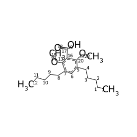 CCCCCc1cc(CCCCC)c(OC)c(C(=O)O)c1OC